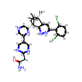 CC1(C)[C@H]2CC[C@]1(c1cncc(-c3cnc(CC(N)=O)nc3)n1)c1nnc(-c3c(F)cccc3F)cc12